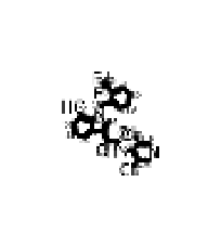 O=C(Nc1c(Cl)cncc1Cl)C(=O)c1cn(Cc2ccccc2C(F)(F)F)c2c(O)cccc12